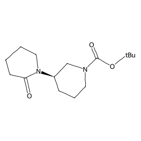 CC(C)(C)OC(=O)N1CCC[C@@H](N2CCCCC2=O)C1